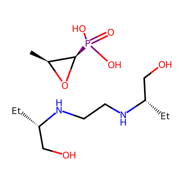 CC[C@@H](CO)NCCN[C@@H](CC)CO.C[C@@H]1O[C@@H]1P(=O)(O)O